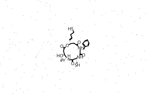 CC(C)[C@H]1NC(=O)[C@@H](CS)NC(=O)[C@@H](Cc2ccccc2)NC(=O)C[C@@H](/C=C/CCS)OC(=O)C[C@@H]1O